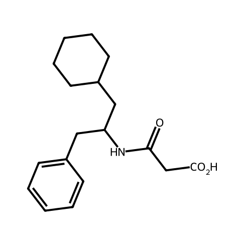 O=C(O)CC(=O)NC(Cc1ccccc1)CC1CCCCC1